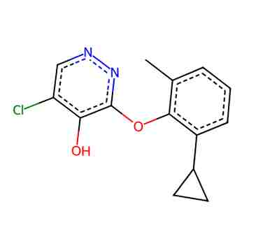 Cc1cccc(C2CC2)c1Oc1nncc(Cl)c1O